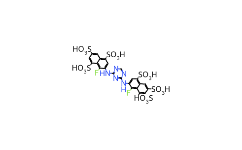 O=S(=O)(O)c1cc(S(=O)(=O)O)c2c(F)c(Nc3ncnc(Nc4cc(S(=O)(=O)O)c5cc(S(=O)(=O)O)cc(S(=O)(=O)O)c5c4F)n3)cc(S(=O)(=O)O)c2c1